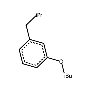 CCC(C)Oc1cccc(CC(C)C)c1